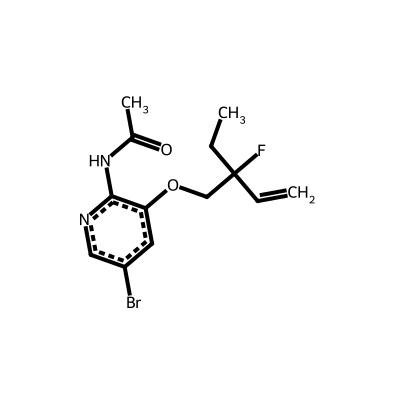 C=CC(F)(CC)COc1cc(Br)cnc1NC(C)=O